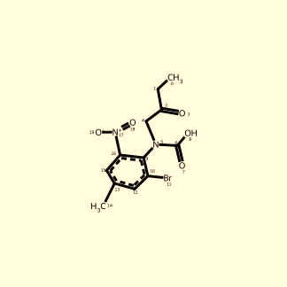 CCC(=O)CN(C(=O)O)c1c(Br)cc(C)cc1[N+](=O)[O-]